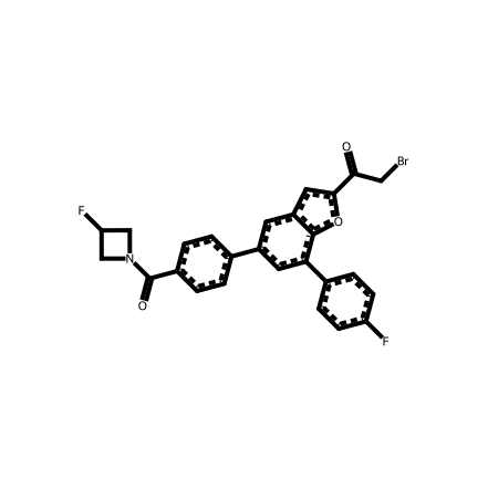 O=C(CBr)c1cc2cc(-c3ccc(C(=O)N4CC(F)C4)cc3)cc(-c3ccc(F)cc3)c2o1